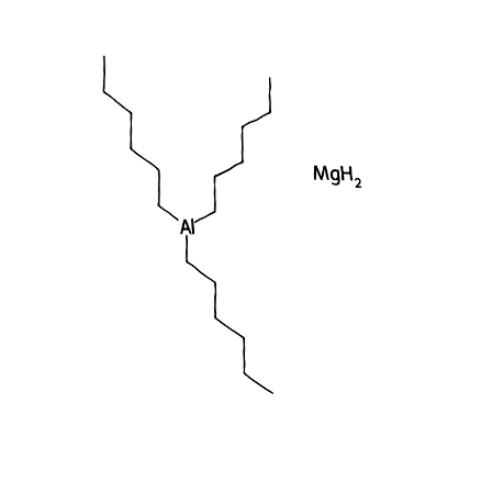 CCCCC[CH2][Al]([CH2]CCCCC)[CH2]CCCCC.[MgH2]